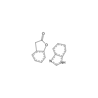 O=C1Cc2ccccc2O1.c1ccc2[nH]cnc2c1